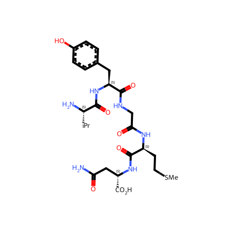 CSCC[C@H](NC(=O)CNC(=O)[C@H](Cc1ccc(O)cc1)NC(=O)[C@@H](N)C(C)C)C(=O)N[C@@H](CC(N)=O)C(=O)O